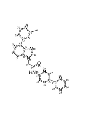 Cc1cc(-c2nccc3c2ncn3CC(=O)Nc2ccc(-c3cnccn3)cn2)ccn1